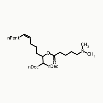 CCCCC/C=C\CCCC(OC(=O)CCCCN(C)C)C(CCCCCCCCCC)CCCCCCCCCC